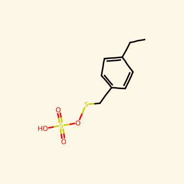 CCc1ccc(CSOS(=O)(=O)O)cc1